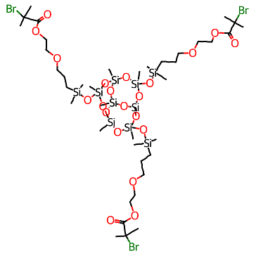 CC(C)(Br)C(=O)OCCOCCC[Si](C)(C)O[Si]1(C)O[Si]2(C)O[Si](C)(O[Si](C)(C)CCCOCCOC(=O)C(C)(C)Br)O[Si]3(C)O[Si](C)(O[Si](C)(C)CCCOCCOC(=O)C(C)(C)Br)O[Si](C)(O1)O[Si](C)(O2)O3